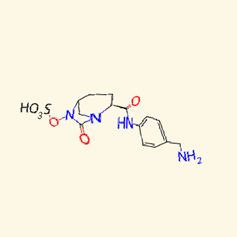 NCc1ccc(NC(=O)[C@@H]2CCC3CN2C(=O)N3OS(=O)(=O)O)cc1